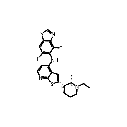 CCN1CCC[C@H](c2cc3c(Nc4c(F)cc5scnc5c4F)ccnc3s2)[C@@H]1C